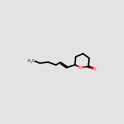 CCCCC=CC1CCCC(=O)O1